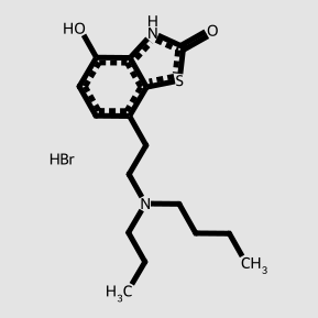 Br.CCCCN(CCC)CCc1ccc(O)c2[nH]c(=O)sc12